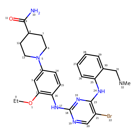 CCOc1cc(N2CCC(C(N)=O)CC2)ccc1Nc1ncc(Br)c(Nc2ccccc2CNC)n1